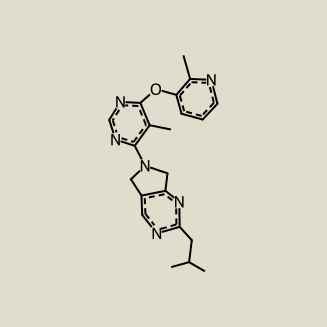 Cc1ncccc1Oc1ncnc(N2Cc3cnc(CC(C)C)nc3C2)c1C